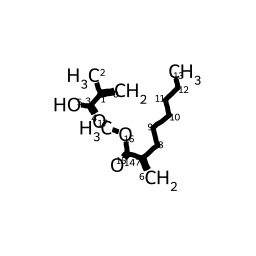 C=C(C)C(=O)O.C=C(CCCCCC)C(=O)OC